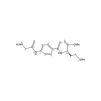 COC(=O)[C@@H](CCSC)NC(=O)c1ccc(NC(=O)CNC(C)=O)cc1